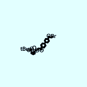 CC(C)(C)OC(=O)N1CCC[C@H]1C(=O)OCC(=O)c1ccc(-c2ccc(C(=O)CBr)cc2)cc1